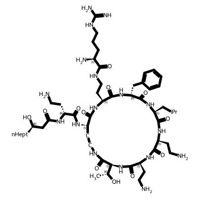 CCCCCCC[C@@H](O)CC(=O)N[C@H](CCN)C(=O)N[C@H]1CCNC(=O)[C@H]([C@@H](C)O)NC(=O)[C@H](CCN)NC(=O)[C@H](CCN)NC(=O)[C@H](CC(C)C)NC(=O)[C@@H](Cc2ccccc2)NC(=O)[C@H](CCNC(=O)[C@@H](N)CCCNC(=N)N)NC1=O